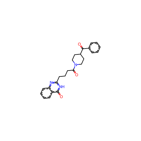 O=C(c1ccccc1)C1CCN(C(=O)CCCc2nc3ccccc3c(=O)[nH]2)CC1